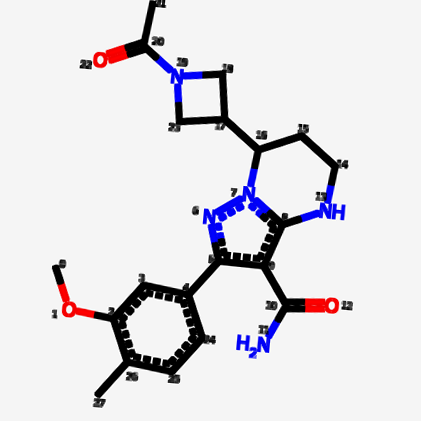 COc1cc(-c2nn3c(c2C(N)=O)NCCC3C2CN(C(C)=O)C2)ccc1C